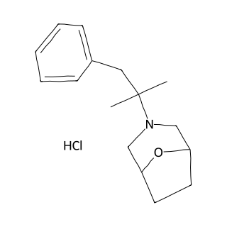 CC(C)(Cc1ccccc1)N1CC2CCC(C1)O2.Cl